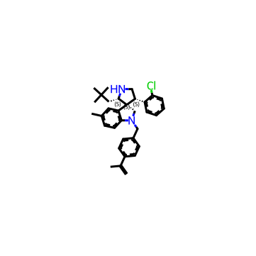 C=C(C)c1ccc(CN2C[C@]3(c4cc(C)ccc42)[C@H](CC(C)(C)C)NC[C@@H]3c2ccccc2Cl)cc1